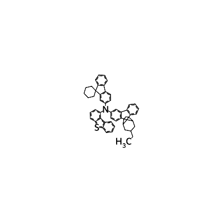 CCC1CC2CCCC(C1)C21c2ccccc2-c2cc(N(c3ccc4c(c3)C3(CCCCC3)c3ccccc3-4)c3cccc4sc5ccccc5c34)ccc21